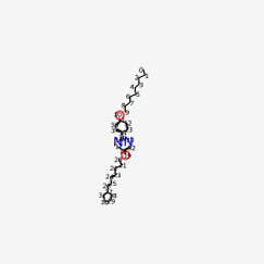 CCCCCCCCCCOc1ccc(-c2ncc(OCCCCCCCC3CCCC3)cn2)cc1